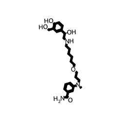 CN(CCCOCCCCCCNC[C@@H](O)c1ccc(O)c(CO)c1)c1cccc(C(N)=O)c1